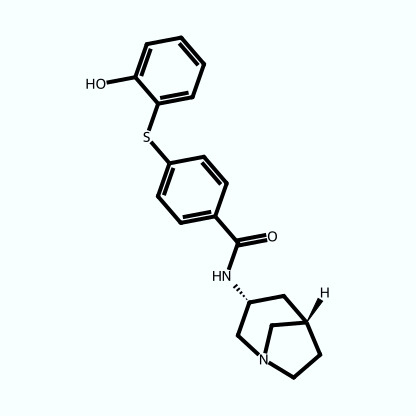 O=C(N[C@@H]1C[C@@H]2CCN(C2)C1)c1ccc(Sc2ccccc2O)cc1